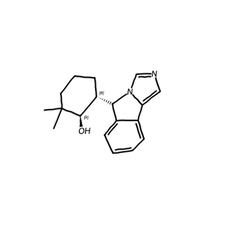 CC1(C)CCC[C@H](C2c3ccccc3-c3cncn32)[C@H]1O